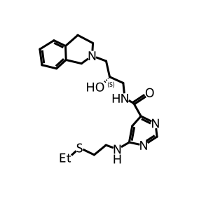 CCSCCNc1cc(C(=O)NC[C@H](O)CN2CCc3ccccc3C2)ncn1